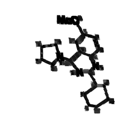 COc1ccc2nc(C3CCCCC3)nc(N3CCCC3)c2c1